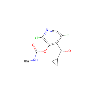 CC(C)(C)NC(=O)Oc1c(Cl)ncc(Cl)c1C(=O)C1CC1